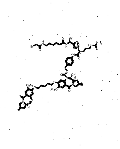 C=C1C[C@H]2C=Nc3cc(OCCCCCOc4cc5c(cc4OC)C(=O)N4CC(=C)C[C@H]4[C@H](O)N5C(=O)OCc4ccc(NC(=O)[C@H](CCCNC(N)=O)n5cc([C@@H](NC(=O)CCCCCNC(=O)CBr)C(C)C)nn5)cc4)c(OC)cc3C(=O)N2C1